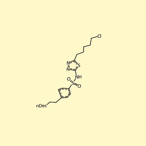 CCCCCCCCCCCCc1ccc(S(=O)(=O)Nc2nnc(CCCCCCl)s2)cc1